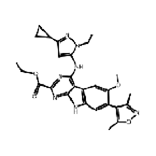 CCOC(=O)c1nc(Nc2cc(C3CC3)nn2CC)c2c(n1)[nH]c1cc(-c3c(C)noc3C)c(OC)cc12